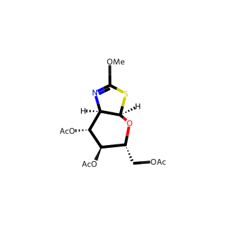 COC1=N[C@@H]2[C@@H](OC(C)=O)[C@H](OC(C)=O)[C@@H](COC(C)=O)O[C@@H]2S1